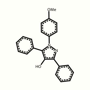 COc1ccc(-n2nc(-c3ccccc3)c(O)c2-c2ccccc2)cc1